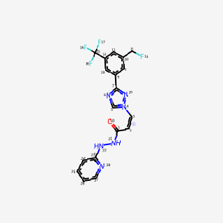 O=C(/C=C\n1cnc(-c2cc(CF)cc(C(F)(F)F)c2)n1)NNc1ccccn1